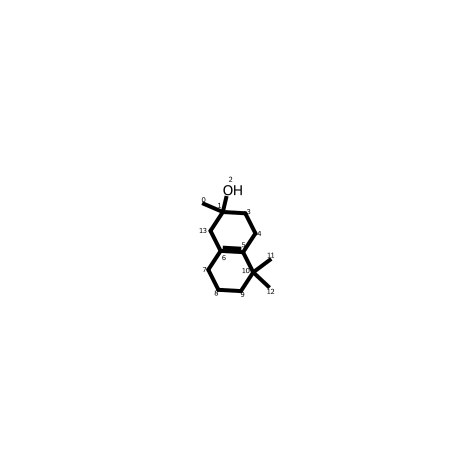 CC1(O)CCC2=C(CCCC2(C)C)C1